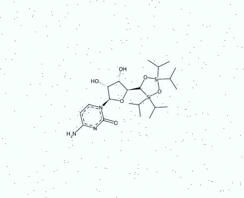 CC(C)[Si]1(C(C)C)OC([C@H]2O[C@@H](n3ccc(N)nc3=O)[C@H](O)[C@@H]2O)[Si](C(C)C)(C(C)C)O1